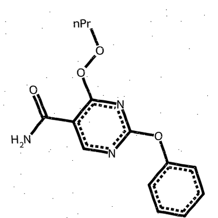 CCCOOc1nc(Oc2ccccc2)ncc1C(N)=O